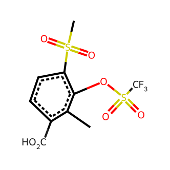 Cc1c(C(=O)O)ccc(S(C)(=O)=O)c1OS(=O)(=O)C(F)(F)F